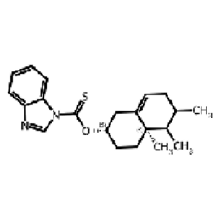 CC1CC=C2C[C@@H](OC(=S)n3cnc4ccccc43)CC[C@]2(C)C1C